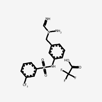 N=CN(N)Cc1cccc(NS(=O)(=O)c2cccc(C(F)(F)F)c2)c1.O=C(O)C(F)(F)F